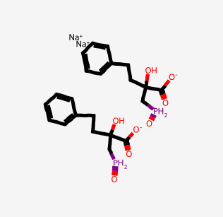 O=[PH2]CC(O)(CCc1ccccc1)C(=O)[O-].O=[PH2]CC(O)(CCc1ccccc1)C(=O)[O-].[Na+].[Na+]